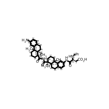 CC(C)N[C@@H](CC(=O)O)C(=O)Nc1ccc2c(c1)[C@@]1(C)CCC[C@](C)(C(=O)NC(=O)[C@@]3(C)CCC[C@]4(C)c5cc(N)ccc5CC[C@@H]34)[C@@H]1CC2